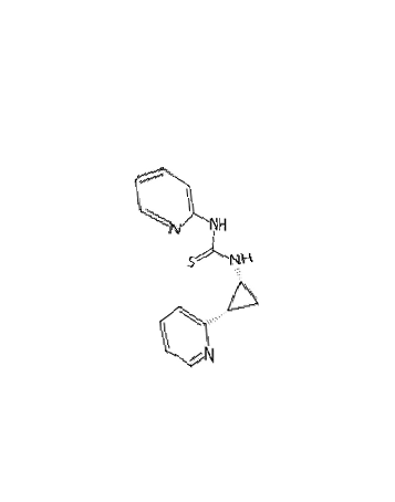 S=C(Nc1ccccn1)N[C@@H]1C[C@@H]1c1ccccn1